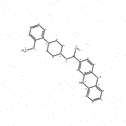 COc1ccccc1N1CCN(SC(C)c2ccc3c(c2)Nc2ccccc2S3)CC1